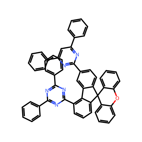 c1ccc(-c2cc(-c3ccccc3)nc(-c3ccc4c(c3)-c3c(-c5nc(-c6ccccc6)nc(-c6ccccc6)n5)cccc3C43c4ccccc4Oc4ccccc43)n2)cc1